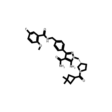 COc1ccc(F)cc1C(=O)NCc1ccc(-c2nn(C[C@@H]3CCN(C(=O)C4CC(C)(C)C4)C3)c(N)c2C(N)=O)cc1